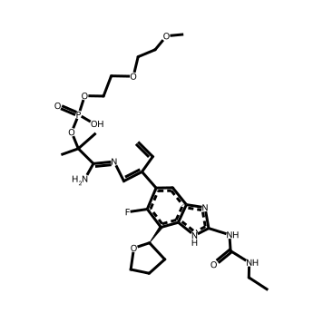 C=C/C(=C\N=C(/N)C(C)(C)OP(=O)(O)OCCOCCOC)c1cc2nc(NC(=O)NCC)[nH]c2c([C@H]2CCCO2)c1F